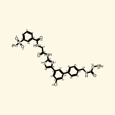 CC(C)S(=O)(=O)c1cccc(C(=O)NCC(=O)Nc2nc(-c3cc(Cl)cc(-c4ccc(CNC(=O)OC(C)(C)C)cc4)c3)cs2)c1